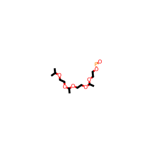 CC(C)OCCOC(C)OCCOC(C)OCCOP=O